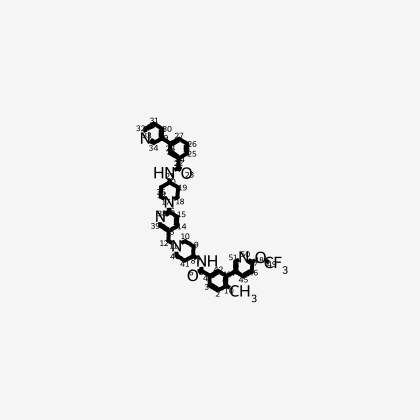 Cc1ccc(C(=O)NC2CCN(Cc3ccc(N4CCC(NC(=O)c5cccc(-c6cccnc6)c5)CC4)nc3)CC2)cc1-c1ccc(OC(F)(F)F)nc1